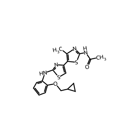 CC(=O)Nc1nc(C)c(-c2csc(Nc3ccccc3OCC3CC3)n2)s1